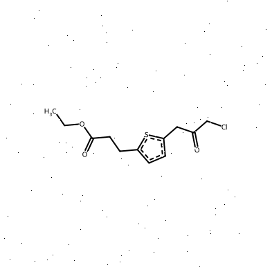 CCOC(=O)CCc1ccc(CC(=O)CCl)s1